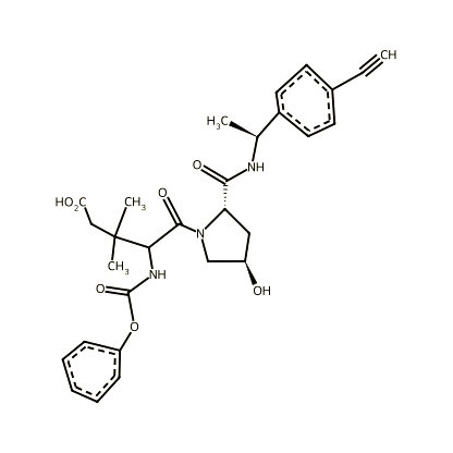 C#Cc1ccc([C@H](C)NC(=O)[C@@H]2C[C@@H](O)CN2C(=O)C(NC(=O)Oc2ccccc2)C(C)(C)CC(=O)O)cc1